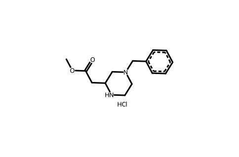 COC(=O)CC1CN(Cc2ccccc2)CCN1.Cl